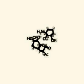 CC(=O)c1cc2ccc(O)c(C=O)c2oc1=O.Nc1cccc(O)c1Cl